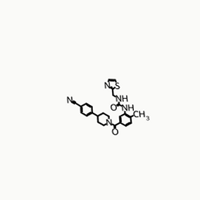 Cc1ccc(C(=O)N2CCC(c3ccc(C#N)cc3)CC2)cc1NC(=O)NCc1nccs1